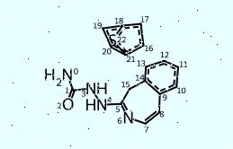 NC(=O)NNC1=NC=Cc2ccccc2C1.c1cc2ccc1s2